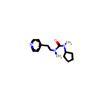 CN(CCc1ccncc1)C(=O)N(C)C1CCCC1